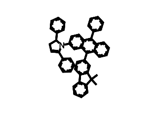 CC1(C)c2ccccc2-c2ccc(-c3c4ccccc4c(-c4ccccc4)c4ccc(N5C(c6ccccc6)=CCC5c5ccccc5)cc34)cc21